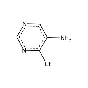 CCc1ncncc1N